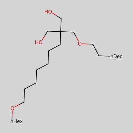 CCCCCCCCCCCCOCC(CO)(CO)CCCCCCCOCCCCCC